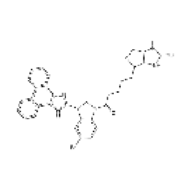 O=C1NC2CSC(CCCCC(=O)N3CC(c4nc5c6ccccc6c6ccccc6c5[nH]4)c4cc(Br)ccc43)C2N1